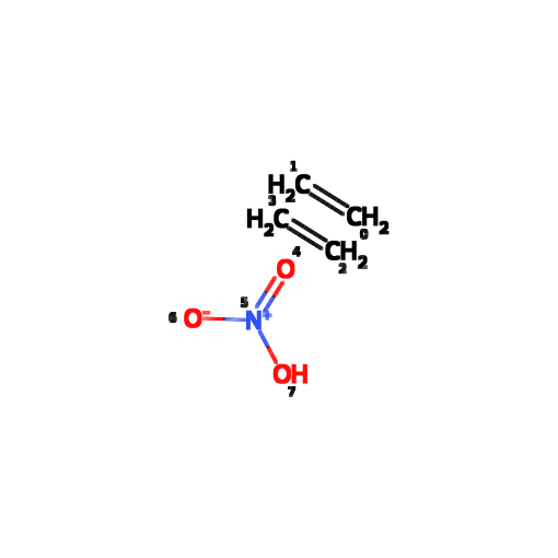 C=C.C=C.O=[N+]([O-])O